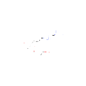 CCO.CO[Si](C)(CCCNCCN)OC